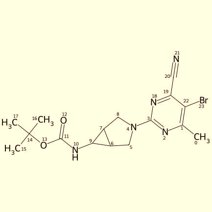 Cc1nc(N2CC3C(C2)C3NC(=O)OC(C)(C)C)nc(C#N)c1Br